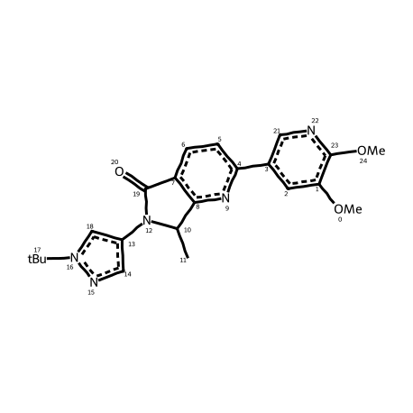 COc1cc(-c2ccc3c(n2)C(C)N(c2cnn(C(C)(C)C)c2)C3=O)cnc1OC